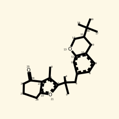 Cc1c(C(C)(C)Cc2ccc3c(c2)OCC(C(C)(C)C)C3)oc2c1C(=O)CCC2